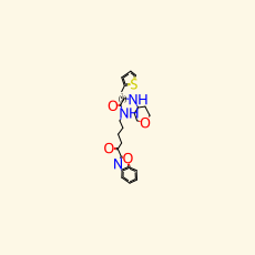 O=C(CCCCNC(=O)[C@H](Cc1cccs1)NC1CCOCC1)c1nc2ccccc2o1